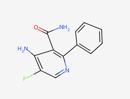 NC(=O)c1c(-c2ccccc2)ncc(F)c1N